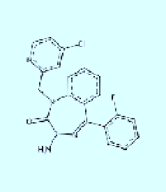 NC1N=C(c2ccccc2F)c2ccccc2N(Cc2cc(Cl)ccn2)C1=O